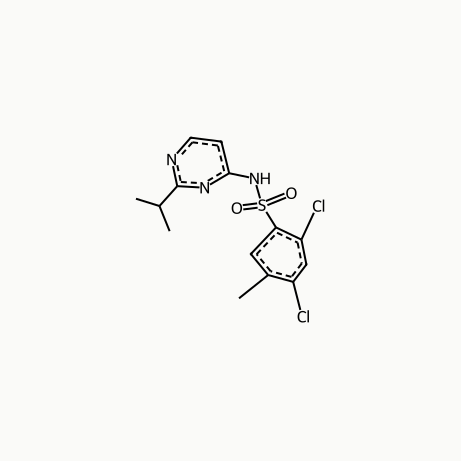 Cc1cc(S(=O)(=O)Nc2ccnc(C(C)C)n2)c(Cl)cc1Cl